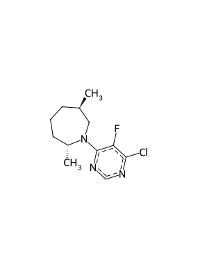 C[C@@H]1CCC[C@@H](C)N(c2ncnc(Cl)c2F)C1